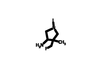 CC1(CF)CN(I)CC1N